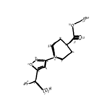 CC(C)C(C(=O)O)c1cc(N2CCC(C(=O)OC(C)(C)C)CC2)no1